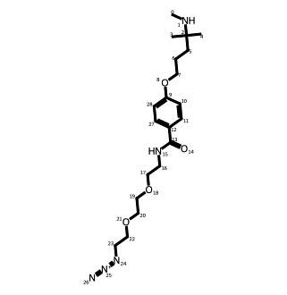 CNC(C)(C)CCCOc1ccc(C(=O)NCCOCCOCCN=[N+]=[N-])cc1